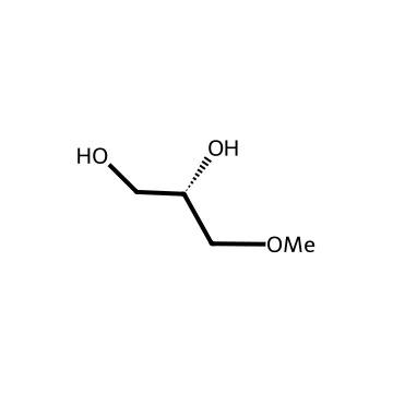 COC[C@@H](O)CO